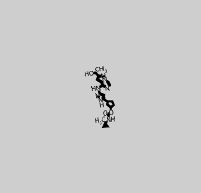 CC(O)c1cc2c(Nc3cc(C4CCC(OC(=O)NC5(C)CC5)C4)[nH]n3)nccn2n1